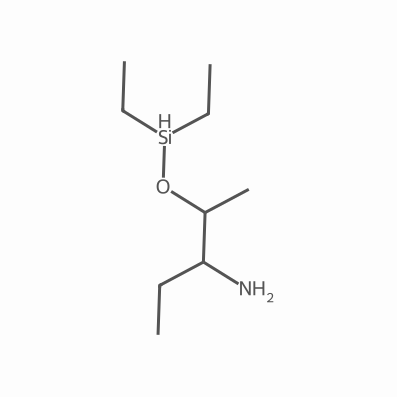 CCC(N)C(C)O[SiH](CC)CC